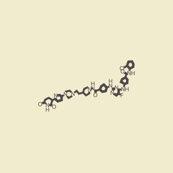 O=C1CCC(c2ccc(N3CCN(CCC4CCN(NC(=O)c5ccc(Nc6ncc(F)c(Nc7ccc(C(=O)Nc8ccccc8Cl)cc7)n6)cc5)CC4)CC3)cn2)C(=O)N1